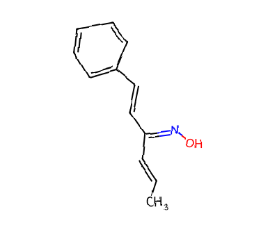 CC=CC(C=Cc1ccccc1)=NO